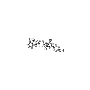 C[C@H](CC(=O)N1CCC(O)(Cn2cnc(N3CCC(O)CC3)cc2=O)CC1)c1ccccc1